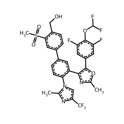 Cc1nc(-c2cc(-c3ccc(CO)c(S(C)(=O)=O)c3)ccc2-n2cc(C(F)(F)F)nc2C)c(-c2cc(F)c(OC(F)F)c(F)c2)o1